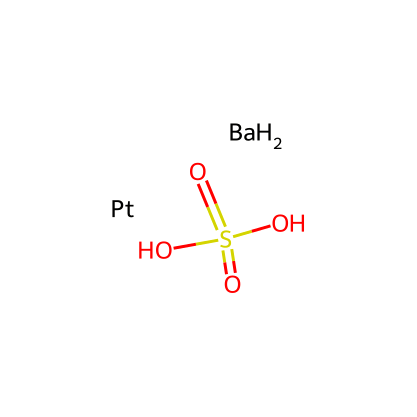 O=S(=O)(O)O.[BaH2].[Pt]